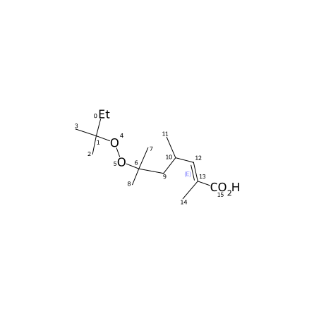 CCC(C)(C)OOC(C)(C)CC(C)/C=C(\C)C(=O)O